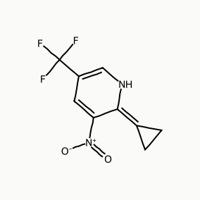 O=[N+]([O-])C1=CC(C(F)(F)F)=CNC1=C1CC1